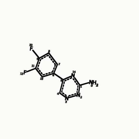 Nc1nncc(-c2ccc(F)c(F)c2)n1